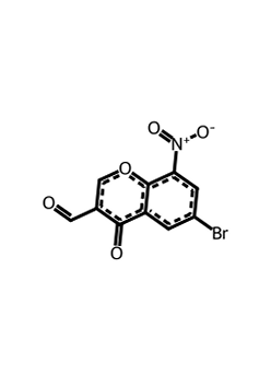 O=Cc1coc2c([N+](=O)[O-])cc(Br)cc2c1=O